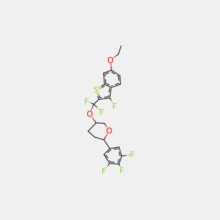 CCOc1ccc2c(F)c(C(F)(F)OC3CCC(c4cc(F)c(F)c(F)c4)OC3)sc2c1